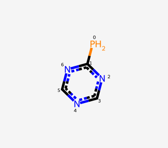 Pc1ncncn1